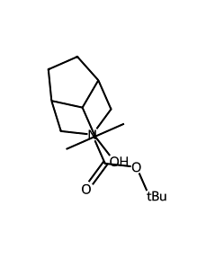 CC(C)(C)OC(=O)N1CC2CCC(C1)C2C(C)(C)O